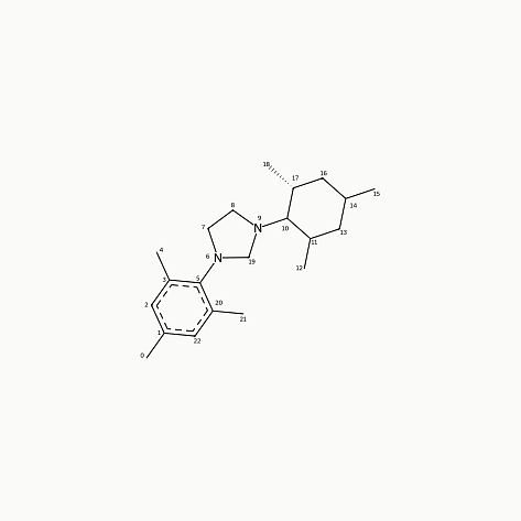 Cc1cc(C)c(N2CCN(C3C(C)CC(C)C[C@H]3C)C2)c(C)c1